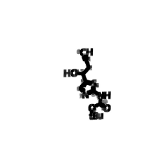 C#CCC(O)c1cnc(NC(=O)OC(C)(C)C)s1